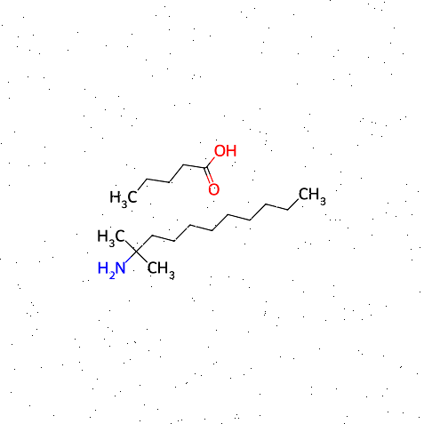 CCCCC(=O)O.CCCCCCCCCC(C)(C)N